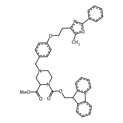 COC(=O)C1CN(Cc2ccc(OCCc3nc(-c4ccccc4)oc3C)cc2)CCN1C(=O)OCC1c2ccccc2-c2ccccc21